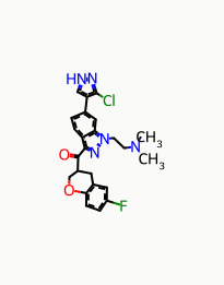 CN(C)CCn1nc(C(=O)C2COc3ccc(F)cc3C2)c2ccc(-c3c[nH]nc3Cl)cc21